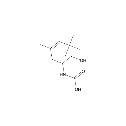 CC(=CC(C)(C)C)CC(CO)NC(=O)O